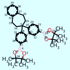 CC1(C)OB(c2ccc(C3(c4ccc(B5OC(C)(C)C(C)(C)O5)cc4)CCc4ccccc4CC3)cc2)OC1(C)C